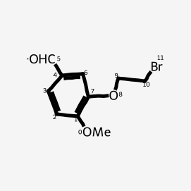 COc1ccc([C]=O)cc1OCCBr